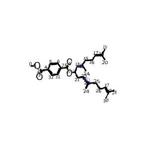 COC(=O)c1ccc(C(=O)OC(/C=C(\C)CCC=C(C)C)C/C=C(\C)CCC=C(C)C)cc1